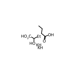 CCC(O)C(=O)O.CCCC(=O)O.[KH].[KH]